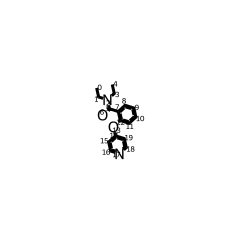 CCN(CC)C(=O)c1ccccc1Oc1ccncc1